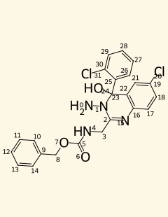 NN1C(CNC(=O)OCc2ccccc2)=Nc2ccc(Cl)cc2C1(O)c1ccccc1Cl